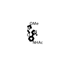 COC1CN(CCOc2ccc(NC(C)=O)cc2-c2ccnn2C)C1